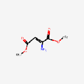 CCCOC(=O)C(N)=CC(=O)OC(C)(C)C